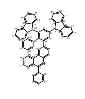 c1ccc(-c2nc3ccc(-c4cc(-n5c6ccccc6c6ccccc65)cc(-n5c6ccccc6c6ccccc65)c4)cc3c3c(-c4ccccc4)cccc23)cc1